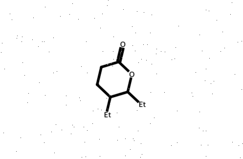 CCC1CCC(=O)OC1CC